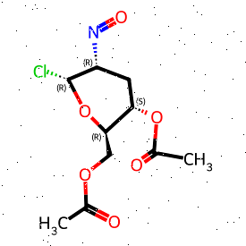 CC(=O)OC[C@H]1O[C@H](Cl)[C@H](N=O)C[C@@H]1OC(C)=O